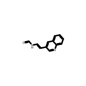 O=CNC=Cc1cnc2ccccc2c1